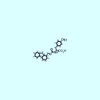 CCOc1ccc(CC(NC(=O)OCc2cccc3c2Cc2ccccc2-3)C(=O)O)cc1